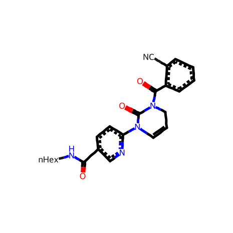 CCCCCCNC(=O)c1ccc(N2C=CCN(C(=O)c3ccccc3C#N)C2=O)nc1